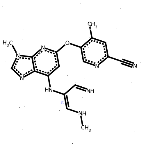 CN/C=C(\C=N)Nc1cc(Oc2cnc(C#N)cc2C)nc2c1ncn2C